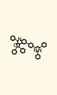 c1ccc(-c2cc(-c3ccc(-c4ccc5nc(-c6ccccc6)c6oc(-c7ccccc7)c(-c7ccccc7)c6c5c4)cc3)nc(-c3ccccc3)n2)cc1